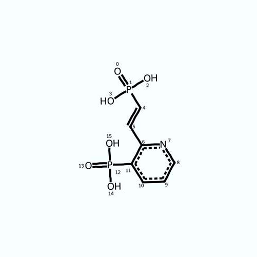 O=P(O)(O)C=Cc1ncccc1P(=O)(O)O